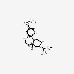 COc1cnc2c(c1)OCC[C@H]1CN(C(C)C)CCN21